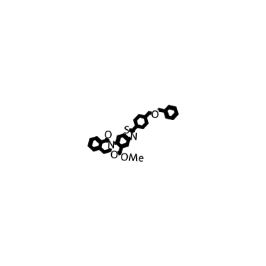 COC(=O)c1cc2nc(C3CCC(COCc4ccccc4)CC3)sc2cc1N1CCc2ccccc2C1=O